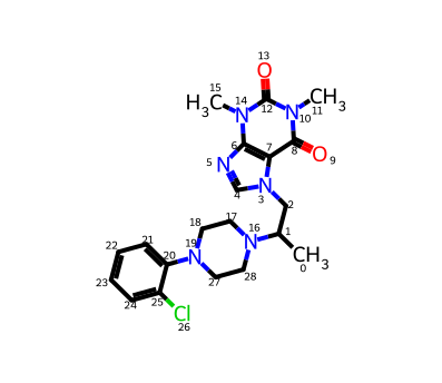 CC(Cn1cnc2c1c(=O)n(C)c(=O)n2C)N1CCN(c2ccccc2Cl)CC1